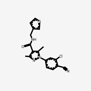 Cc1nn(-c2ccc(C#N)c(Cl)c2)c(C)c1C(=O)NCc1ccsc1